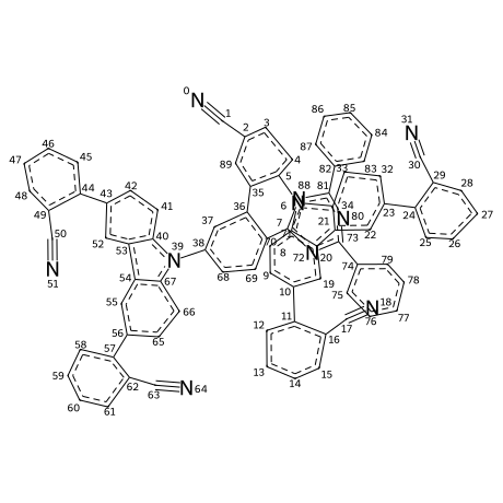 N#Cc1ccc(-n2c3ccc(-c4ccccc4C#N)cc3c3cc(-c4ccccc4C#N)ccc32)c(-c2cc(-n3c4ccc(-c5ccccc5C#N)cc4c4cc(-c5ccccc5C#N)ccc43)ccc2-c2nc(-c3ccccc3)nc(-c3ccccc3)n2)c1